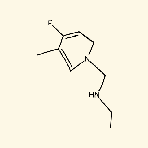 CCNCN1C=C(C)C(F)=CC1